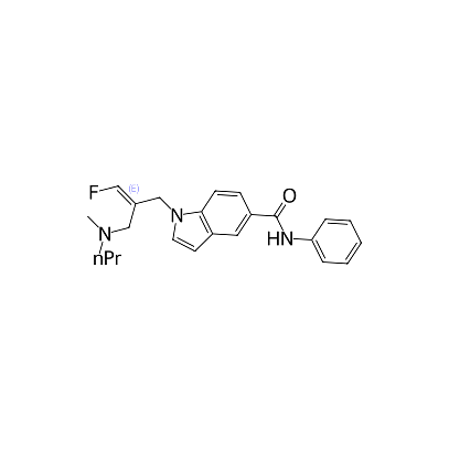 CCCN(C)C/C(=C\F)Cn1ccc2cc(C(=O)Nc3ccccc3)ccc21